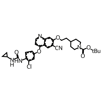 CC(C)(C)OC(=O)N1CCC(CCOc2cc3nccc(Oc4ccc(NC(=O)NC5CC5)c(Cl)c4)c3cc2C#N)CC1